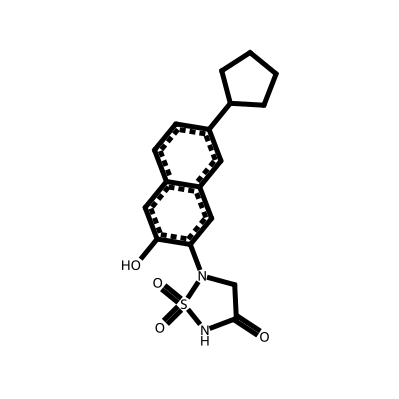 O=C1CN(c2cc3cc(C4CCCC4)ccc3cc2O)S(=O)(=O)N1